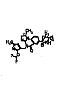 C[C@@H]1CN=C2N(Cc3cn(C)nc3OC(F)F)C(=O)c3cc(S(=O)(=O)NC4(C)CC4)ccc3N21